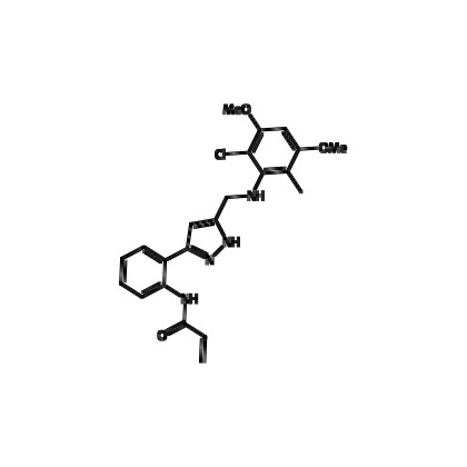 C=CC(=O)Nc1ccccc1-c1cc(CNc2c(C)c(OC)cc(OC)c2Cl)[nH]n1